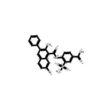 Cc1c(-c2ccccc2)cc2ccc(Br)cc2c1C(=O)Nc1ccc(C(=O)O)cc1S(C)(=O)=O